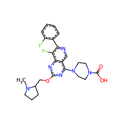 CN1CCCC1COc1nc(N2CCN(C(=O)O)CC2)c2cnc(-c3ccccc3F)c(F)c2n1